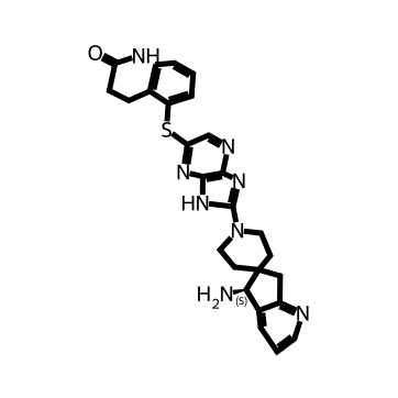 N[C@@H]1c2cccnc2CC12CCN(c1nc3ncc(Sc4cccc5c4CCC(=O)N5)nc3[nH]1)CC2